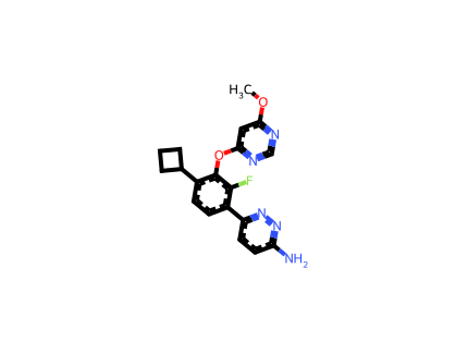 COc1cc(Oc2c(C3CCC3)ccc(-c3ccc(N)nn3)c2F)ncn1